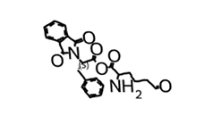 NC(CCCC=O)C(=O)OC(=O)[C@H](Cc1ccccc1)N1C(=O)c2ccccc2C1=O